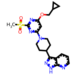 CS(=O)(=O)c1nc(OCC2CC2)cc(N2CCC(c3n[nH]c4ncccc34)CC2)n1